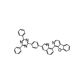 c1ccc(-c2nc(-c3ccccc3)nc(-c3ccc(-c4cnc5c(-c6nccc7c6oc6ccccc67)cccc5c4)cc3)n2)cc1